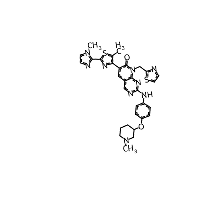 Cc1sc(-c2nccn2C)nc1-c1cc2cnc(Nc3ccc(OC4CCCN(C)C4)cc3)nc2n(Cc2nccs2)c1=O